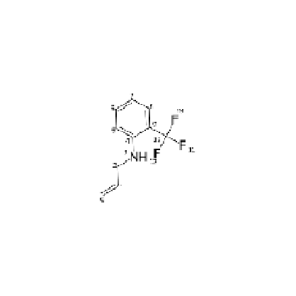 C=CCNc1ccccc1C(F)(F)F